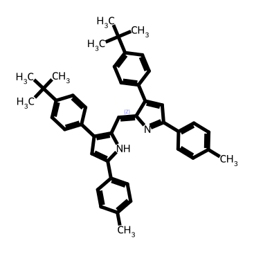 Cc1ccc(C2=N/C(=C\c3[nH]c(-c4ccc(C)cc4)cc3-c3ccc(C(C)(C)C)cc3)C(c3ccc(C(C)(C)C)cc3)=C2)cc1